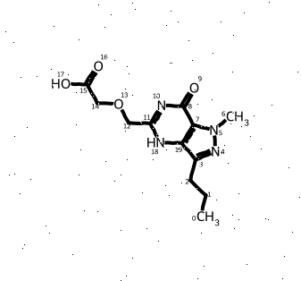 CCCc1nn(C)c2c(=O)nc(COCC(=O)O)[nH]c12